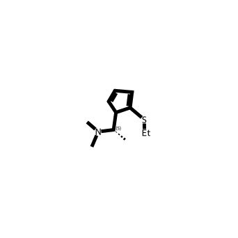 CCSC1=CC=CC1[C@H](C)N(C)C